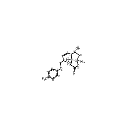 O=C1C[C@@H]2[C@@H](/C=C\C(O)COc3ccc(C(F)(F)F)cc3)[C@H](O)C[C@@H]2O1